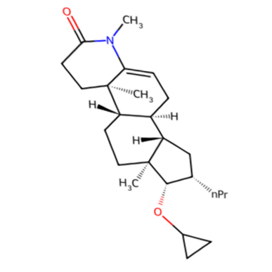 CCC[C@H]1C[C@H]2[C@@H]3CC=C4N(C)C(=O)CC[C@]4(C)[C@H]3CC[C@]2(C)[C@H]1OC1CC1